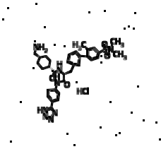 Cc1cc(S(=O)(=O)N(C)C)ccc1-c1cccc(C[C@H](NC(=O)[C@H]2CC[C@H](CN)CC2)C(=O)Nc2ccc(-c3nnn[nH]3)cc2)c1.Cl